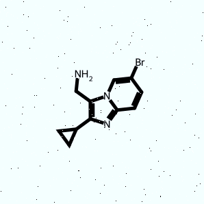 NCc1c(C2CC2)nc2ccc(Br)cn12